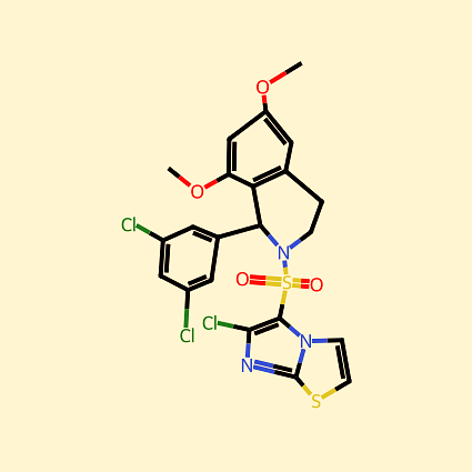 COc1cc2c(c(OC)c1)C(c1cc(Cl)cc(Cl)c1)N(S(=O)(=O)c1c(Cl)nc3sccn13)CC2